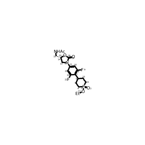 CCOP1(=O)CCC(c2c(F)cc(N3C[C@H](CNC(C)=O)OC3=O)cc2F)CC1